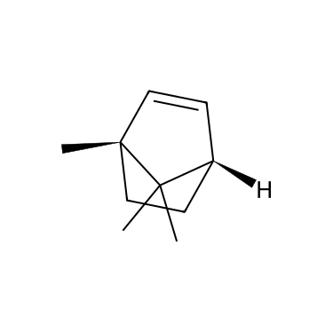 CC1(C)[C@@H]2C=C[C@@]1(C)CC2